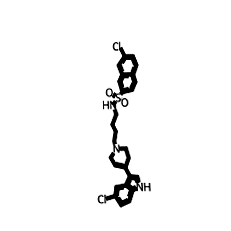 O=S(=O)(NCCCCN1CC=C(c2c[nH]c3ccc(Cl)cc23)CC1)c1ccc2ccc(Cl)cc2c1